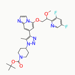 COC(COc1cc(-c2nnn(C3CCN(C(=O)OC(C)(C)C)CC3)c2C)cc2nccn12)c1ncc(F)cc1F